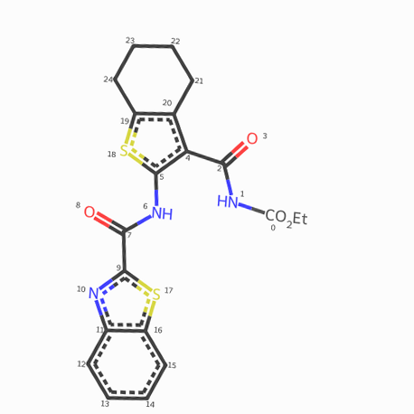 CCOC(=O)NC(=O)c1c(NC(=O)c2nc3ccccc3s2)sc2c1CCCC2